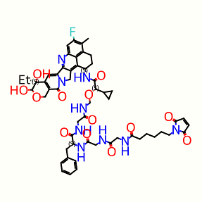 CC[C@]1(O)c2cc3n(c(=O)c2COC1O)Cc1c-3nc2cc(F)c(C)c3c2c1[C@@H](NC(=O)[C@@H](OCNC(=O)CNC(=O)[C@H](Cc1ccccc1)NC(=O)CNC(=O)CNC(=O)CCCCCN1C(=O)C=CC1=O)C1CC1)CC3